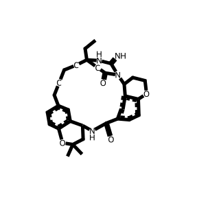 CCC12CCCCc3ccc4c(c3)C(CC(C)(C)O4)NC(=O)c3ccc4c(c3)C(CCO4)N(C(=N)N1)C(=O)C2